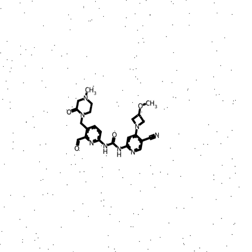 COC1CN(c2cc(NC(=O)Nc3ccc(CN4CCN(C)CC4=O)c(C=O)n3)ncc2C#N)C1